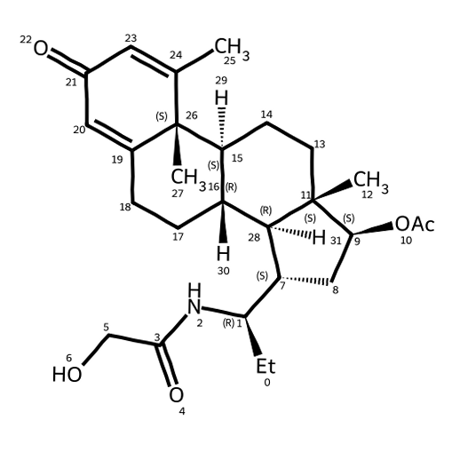 CC[C@@H](NC(=O)CO)[C@H]1C[C@H](OC(C)=O)[C@@]2(C)CC[C@H]3[C@@H](CCC4=CC(=O)C=C(C)[C@@]43C)[C@H]12